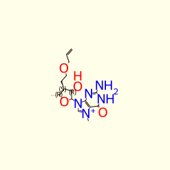 C=CCOCC[C@@H]1[C@@H](C)OC(n2c[n+](C)c3c(=O)[nH]c(N)nc32)[C@@H]1O